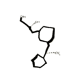 C[C@H](C1CCCCC1)C1CCCC(C[C@@H](O)CO)C1